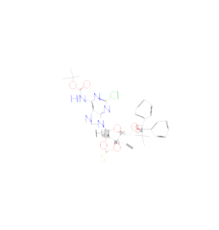 C#C[C@]12OC(=S)O[C@H]1[C@H](n1cnc3c(NC(=O)OC(C)(C)C)nc(Cl)nc31)O[C@@H]2CO[Si](c1ccccc1)(c1ccccc1)C(C)(C)C